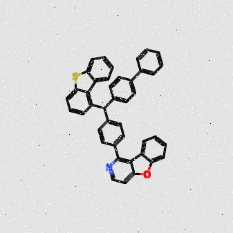 c1ccc(-c2ccc(C(c3ccc(-c4nccc5oc6ccccc6c45)cc3)c3cccc4sc5ccccc5c34)cc2)cc1